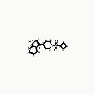 O=S(=O)(C1CCC1)N1CCC(c2c[nH]c3ncccc23)CC1